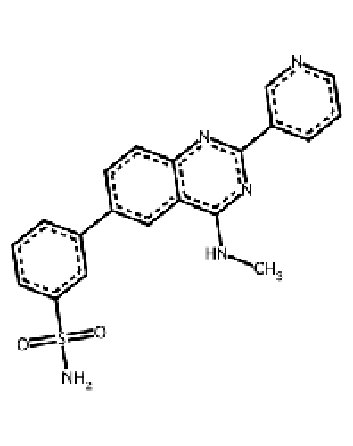 CNc1nc(-c2cccnc2)nc2ccc(-c3cccc(S(N)(=O)=O)c3)cc12